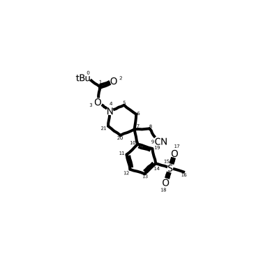 CC(C)(C)C(=O)ON1CCC(CC#N)(c2cccc(S(C)(=O)=O)c2)CC1